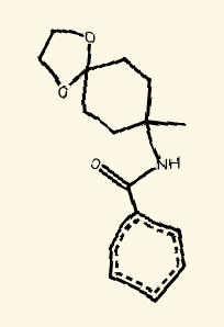 CC1(NC(=O)c2ccccc2)CCC2(CC1)OCCO2